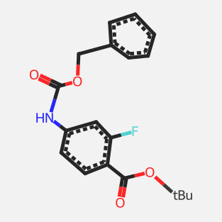 CC(C)(C)OC(=O)c1ccc(NC(=O)OCc2ccccc2)cc1F